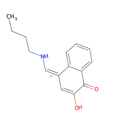 CCCCN/C=C1/C=C(O)C(=O)c2ccccc21